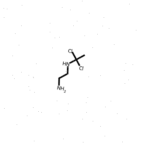 CC(Cl)(Cl)NCCN